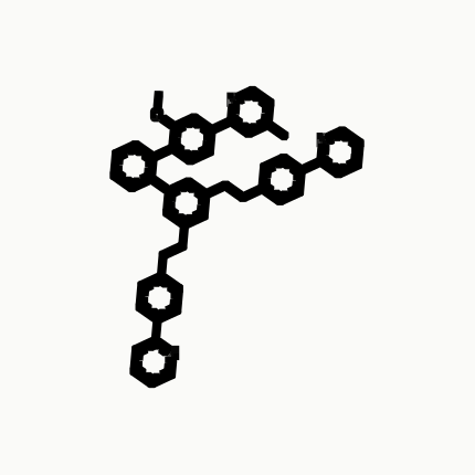 COc1cc(-c2cc(C)ccn2)ccc1-c1ccccc1-c1cc(CCc2ccc(-c3ccccn3)cc2)cc(CCc2ccc(-c3ccccn3)cc2)c1